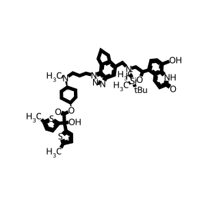 Cc1ccc(C(O)(C(=O)O[C@H]2CC[C@H](N(C)CCCn3nnc4cc(CNCC(O[Si](C)(C)C(C)(C)C)c5ccc(O)c6[nH]c(=O)ccc56)c5c(c43)CCC5)CC2)c2ccc(C)s2)s1